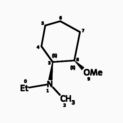 CCN(C)[C@H]1CCCC[C@@H]1OC